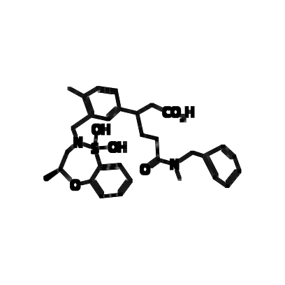 Cc1ccc(C(CCC(=O)N(C)Cc2ccccc2)CC(=O)O)cc1CN1C[C@H](C)Oc2ccccc2S1(O)O